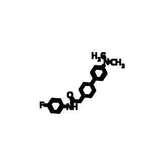 CN(C)c1ccc(C2CCC(CC(=O)Nc3ccc(F)cc3)CC2)cc1